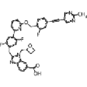 Cc1ncc(C#Cc2ccc(COc3cccc(-c4cc(F)c(Cc5nc6ccc(C(=O)O)cc6n5C[C@@H]5CCO5)cc4F)n3)c(F)c2)cn1